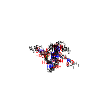 COCCN(CCOC)CCOc1ccc(NC(=O)NC(=O)C[C@@H]2NC(=O)[C@H](NC(=O)[C@@H](CC(C)C)N(C)C(=O)OC(C)(C)C)[C@H](O)c3ccc(c(C)c3)Oc3cc4cc(c3O[C@@H]3O[C@H](CNC(=O)OC(C)(C)C)[C@@H](O)[C@H](O)[C@H]3O)Oc3ccc(cc3Cl)[C@@H](O)[C@@H]3NC(=O)[C@H](NC(=O)C4NC2=O)c2ccc(O)c(c2)-c2c(O)cc(O)cc2[C@@H](C(=O)NC2C4CC5CC(C4)CC2C5)NC3=O)cc1